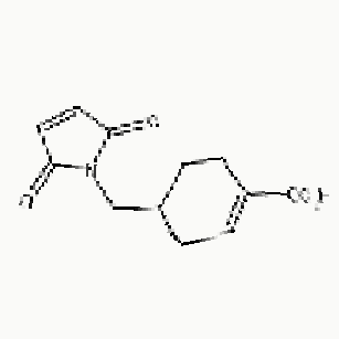 O=C(O)C1=CCC(CN2C(=O)C=CC2=O)CC1